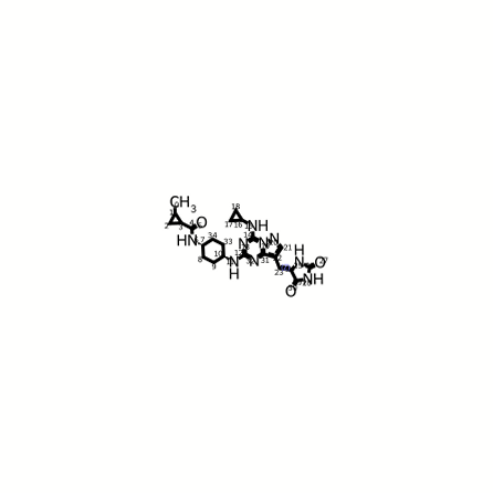 CC1CC1C(=O)N[C@H]1CC[C@H](Nc2nc(NC3CC3)n3ncc(/C=C4\NC(=O)NC4=O)c3n2)CC1